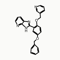 c1ccc(COc2ccc(OCc3cccnc3)c(-c3nc4cccnc4[nH]3)c2)cc1